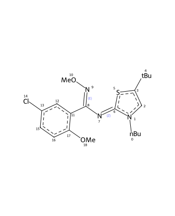 CCCCn1cc(C(C)(C)C)s/c1=N\C(=N\OC)c1cc(Cl)ccc1OC